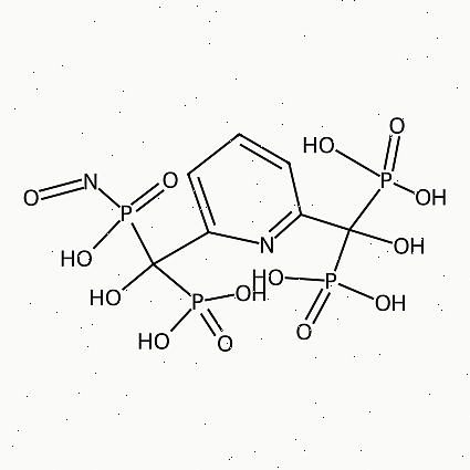 O=NP(=O)(O)C(O)(c1cccc(C(O)(P(=O)(O)O)P(=O)(O)O)n1)P(=O)(O)O